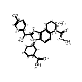 COC(=O)N1c2ccc3c(nc(C(O)c4ccc(Cl)cn4)n3C3CCCC(C(=O)O)C3)c2CC[C@@H]1C